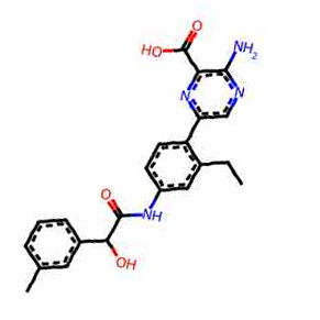 CCc1cc(NC(=O)C(O)c2cccc(C)c2)ccc1-c1cnc(N)c(C(=O)O)n1